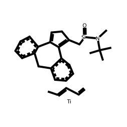 C=CC=CC.CN([Si](=O)CC1=C2C(=CC1)c1ccccc1Cc1ccccc12)C(C)(C)C.[Ti]